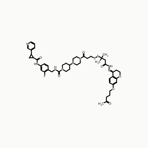 CC(=O)CCCOc1ccc2c(c1)OCC/C2=N\NC(=O)CC(C)(C)SSCCC(=O)N1CCN(C2CCN(C(=O)NCc3ccc(NC(=O)C4CC4c4cccnc4)cc3F)CC2)CC1